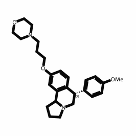 COc1ccc([C@@H]2CN3CCCC3c3cc(OCCCN4CCOCC4)ccc32)cc1